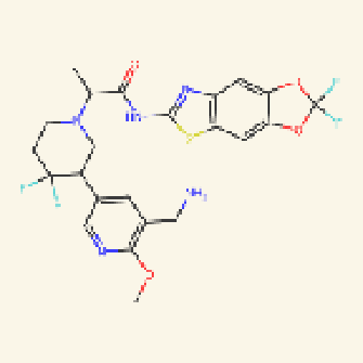 COc1ncc(C2CN(C(C)C(=O)Nc3nc4cc5c(cc4s3)OC(F)(F)O5)CCC2(F)F)cc1CN